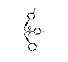 Cc1ccc(S(=O)(=O)N(CC#Cc2ccc(F)cc2)CC#CC2C=CC=CC=C2)cc1